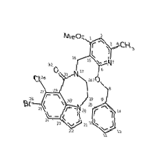 COc1cc(C)nc(OCc2ccccc2)c1CN1CCn2ccc3cc(Br)c(Cl)c(c32)C1=O